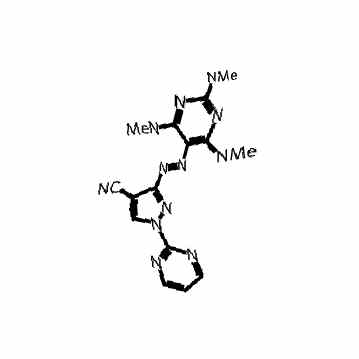 CNc1nc(NC)c(N=Nc2nn(-c3ncccn3)cc2C#N)c(NC)n1